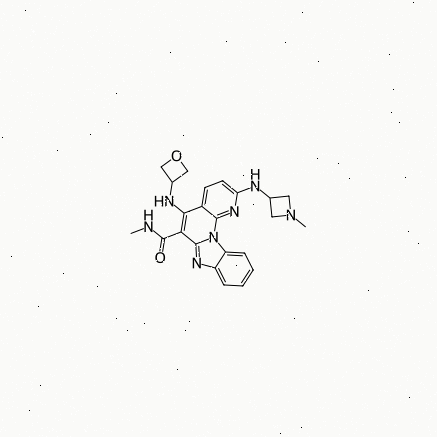 CNC(=O)c1c(NC2COC2)c2ccc(NC3CN(C)C3)nc2n2c1nc1ccccc12